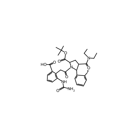 CCN(CC)C(=O)C1CC(C(=O)OC(C)(C)C)N(C(=O)Cc2c(NC(N)=O)cccc2C(=O)O)C1c1ccccc1F